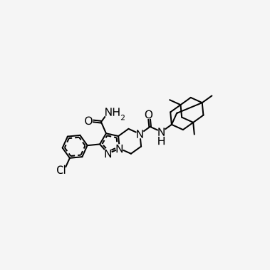 CC12CC3(C)CC(C)(C1)CC(NC(=O)N1CCn4nc(-c5cccc(Cl)c5)c(C(N)=O)c4C1)(C2)C3